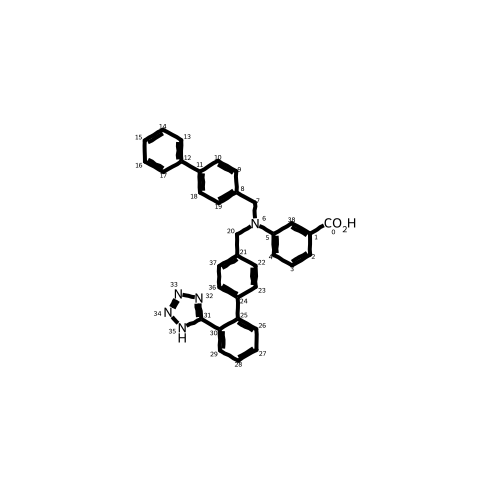 O=C(O)c1cccc(N(Cc2ccc(-c3ccccc3)cc2)Cc2ccc(-c3ccccc3-c3nnn[nH]3)cc2)c1